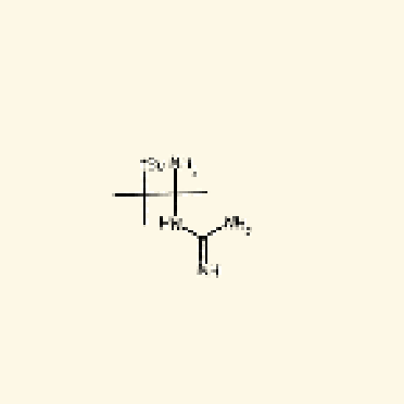 CC(C)(C)C(C)(C)C(C)(N)NC(=N)N